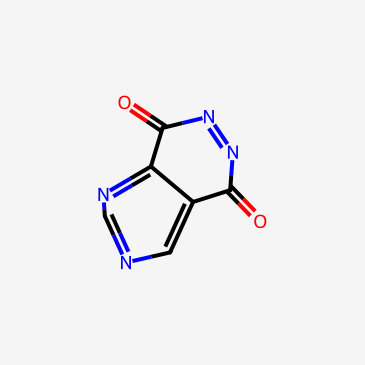 O=C1N=NC(=O)c2ncncc21